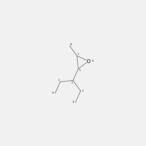 CCC(CC)C1OC1C